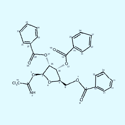 N=C(O[C@@H]1O[C@H](COC(=O)c2ccccc2)[C@@H](OC(=O)c2ccccc2)[C@H]1OC(=O)c1ccccc1)C(Cl)(Cl)Cl